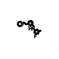 Cc1cc(F)cc(NCc2cccc(CCN3CCCCC3)n2)c1